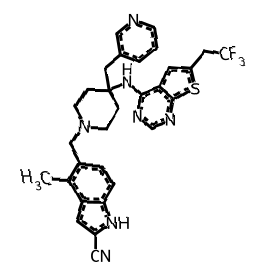 Cc1c(CN2CCC(Cc3cccnc3)(Nc3ncnc4sc(CC(F)(F)F)cc34)CC2)ccc2[nH]c(C#N)cc12